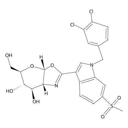 CS(=O)(=O)c1ccc2c(C3=N[C@H]4[C@@H](O3)O[C@H](CO)[C@@H](O)[C@@H]4O)cn(Cc3ccc(Cl)c(Cl)c3)c2c1